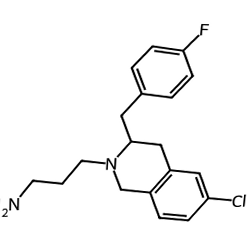 NCCCN1Cc2ccc(Cl)cc2CC1Cc1ccc(F)cc1